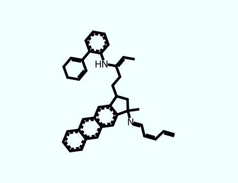 C=C/C=C\C=N\C1(C)CC(CC/C(=C\C)Nc2ccccc2C2=CCCC=C2)c2cc3cc4ccccc4cc3cc21